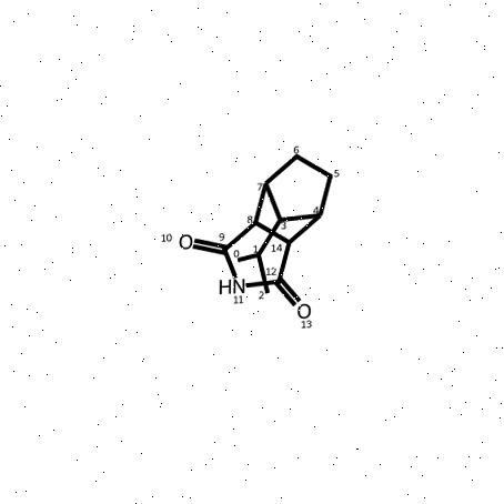 CC(C)C1C2CCC1C1C(=O)NC(=O)C21